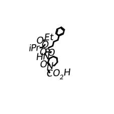 CCC(=O)OC(OP(=O)(CCCCc1ccccc1)NC1CCCCN(CC(=O)O)C1=O)C(C)C